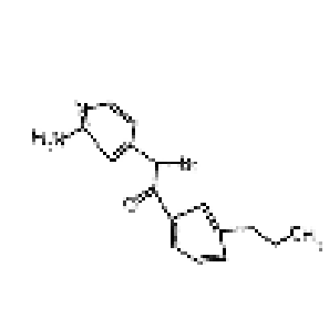 CCCc1cccc(C(=O)C(Br)c2ccnc(N)c2)c1